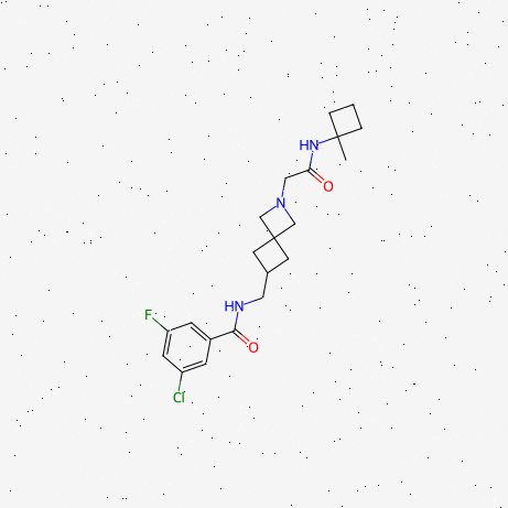 CC1(NC(=O)CN2CC3(CC(CNC(=O)c4cc(F)cc(Cl)c4)C3)C2)CCC1